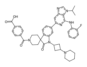 CC(C)n1cnc2cc(-c3ccc4c(c3)N(C3CC(N5CCCCC5)C3)C(=O)C43CCN(C(=O)c4ccc(C(=O)O)cc4)CC3)nc(Nc3ccccc3F)c21